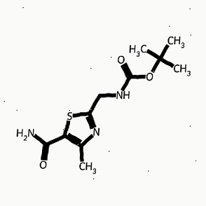 Cc1nc(CNC(=O)OC(C)(C)C)sc1C(N)=O